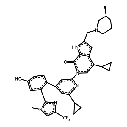 C[C@H]1CCCN(Cc2cc3c(C4CC4)cn(-c4cc(-c5ccc(C#N)cc5-c5nc(C(F)(F)F)cn5C)cc(C5CC5)n4)c(=O)c3[nH]2)C1